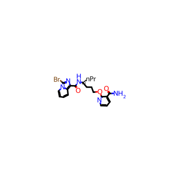 CCC[C@@H](CCCOc1ncccc1C(N)=O)NC(=O)c1nc(Br)n2ccccc12